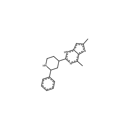 Cc1cc2[nH]c(C3CCNC(c4ccccc4)C3)nc(C)c-2n1